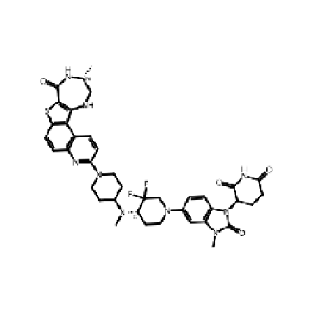 C[C@@H]1CNc2c(sc3ccc4nc(N5CCC(N(C)[C@H]6CCN(c7ccc8c(c7)n(C)c(=O)n8C7CCC(=O)NC7=O)CC6(F)F)CC5)ccc4c23)C(=O)N1